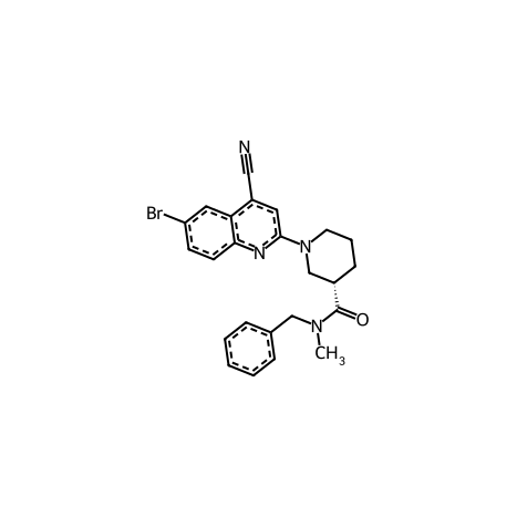 CN(Cc1ccccc1)C(=O)[C@H]1CCCN(c2cc(C#N)c3cc(Br)ccc3n2)C1